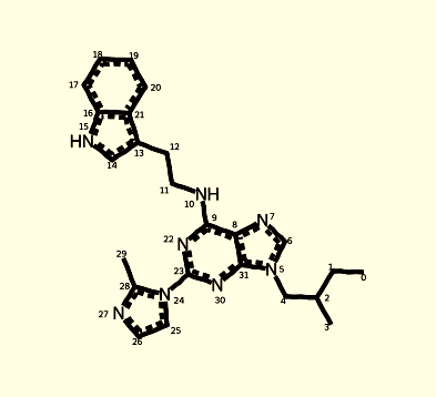 CCC(C)Cn1cnc2c(NCCc3c[nH]c4ccccc34)nc(-n3ccnc3C)nc21